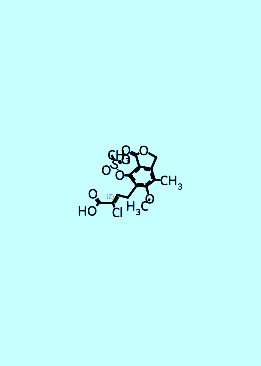 COc1c(C)c2c(c(OS(C)(=O)=O)c1C/C=C(\Cl)C(=O)O)C(=O)OC2